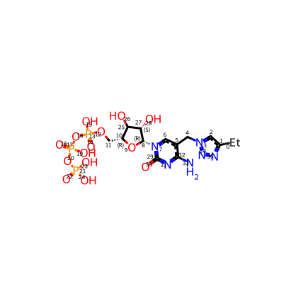 CCc1cn(Cc2cn([C@@H]3O[C@H](COP(=O)(O)OP(=O)(O)OP(=O)(O)O)C(O)[C@@H]3O)c(=O)nc2N)nn1